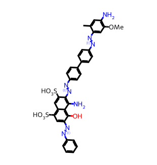 COc1cc(/N=N/c2ccc(-c3ccc(/N=N/c4c(S(=O)(=O)O)cc5c(S(=O)(=O)O)cc(/N=N/c6ccccc6)c(O)c5c4N)cc3)cc2)c(C)cc1N